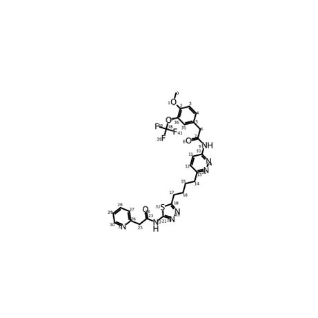 COc1ccc(CC(=O)Nc2ccc(CCCCc3nnc(NC(=O)Cc4ccccn4)s3)nn2)cc1OC(F)(F)F